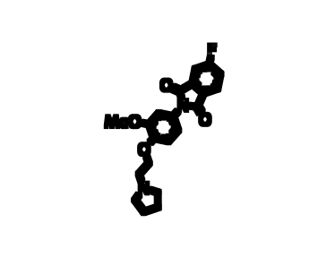 COc1cc(N2C(=O)c3ccc(F)cc3C2=O)ccc1OCCN1CCCC1